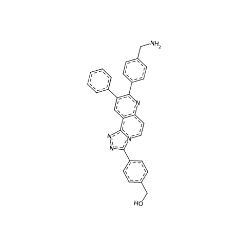 NCc1ccc(-c2nc3ccn4c(-c5ccc(CO)cc5)nnc4c3cc2-c2ccccc2)cc1